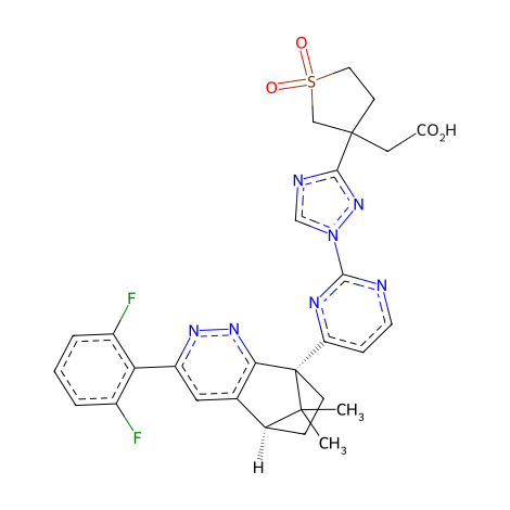 CC1(C)[C@H]2CC[C@]1(c1ccnc(-n3cnc(C4(CC(=O)O)CCS(=O)(=O)C4)n3)n1)c1nnc(-c3c(F)cccc3F)cc12